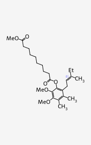 CC/C(C)=C/Cc1c(C)c(C)c(OC)c(OC)c1OC(=O)CCCCCCCCC(=O)OC